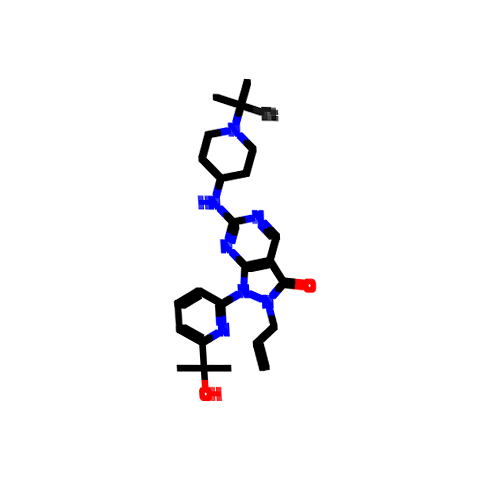 C=CCn1c(=O)c2cnc(NC3CCN(C(C)(C)CC)CC3)nc2n1-c1cccc(C(C)(C)O)n1